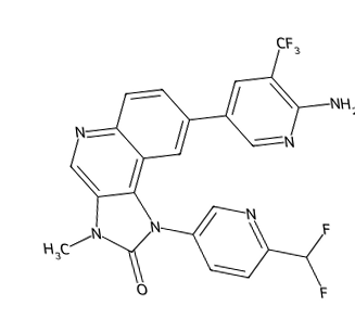 Cn1c(=O)n(-c2ccc(C(F)F)nc2)c2c3cc(-c4cnc(N)c(C(F)(F)F)c4)ccc3ncc21